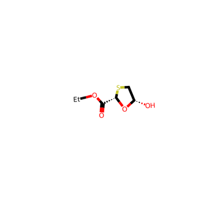 CCOC(=O)[C@H]1O[C@@H](O)CS1